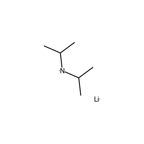 CC(C)[N]C(C)C.[Li]